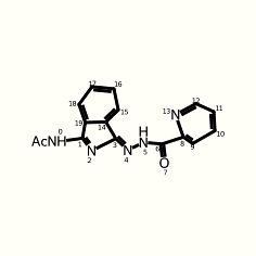 CC(=O)NC1=N/C(=N/NC(=O)c2ccccn2)c2ccccc21